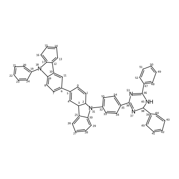 C1=CC2C(C=C1c1ccc3c(c1)c1ccccc1n3-c1ccccc1)c1ccccc1N2c1ccc(C2=NC(c3ccccc3)NC(c3ccccc3)=N2)cc1